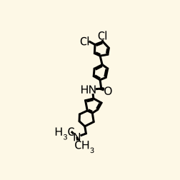 CN(C)CC1CCc2cc(NC(=O)c3ccc(-c4ccc(Cl)c(Cl)c4)cc3)ccc2C1